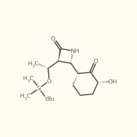 C[C@@H](O[Si](C)(C)C(C)(C)C)[C@H]1C(=O)N[C@@H]1[C@H]1CCC[C@@H](O)C1=O